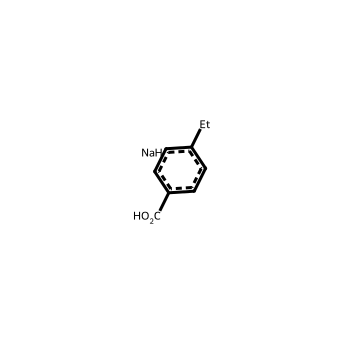 CCc1ccc(C(=O)O)cc1.[NaH]